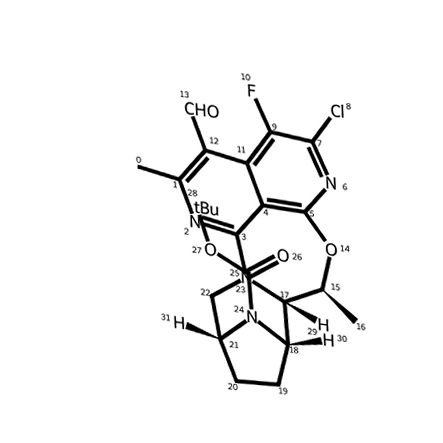 Cc1nc2c3c(nc(Cl)c(F)c3c1C=O)O[C@@H](C)[C@@H]1[C@@H]3CC[C@H](CN21)N3C(=O)OC(C)(C)C